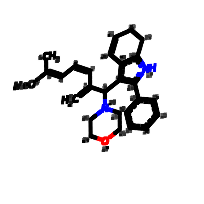 C=C(/C=C\C=C(/C)OC)C(c1c(-c2ccccc2)[nH]c2c1C=CCC2)N1CCOCC1